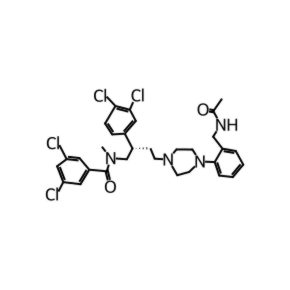 CC(=O)NCc1ccccc1N1CCN(CC[C@H](CN(C)C(=O)c2cc(Cl)cc(Cl)c2)c2ccc(Cl)c(Cl)c2)CC1